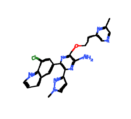 Cc1cncc(CCOc2nc(-c3cc(Cl)c4ncccc4c3)c(-c3ccn(C)n3)nc2N)n1